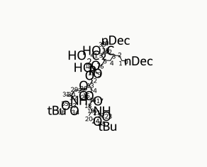 CCCCCCCCCCCCC(CC(COP(=O)(O)OCC(COC(=O)CC(C)NC(=O)OC(C)(C)C)OC(=O)CC(C)NC(=O)OC(C)(C)C)C(CCCCCCCCCCCC)C(=O)O)C(=O)O